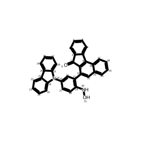 O=C1c2ccccc2-c2c1c(-c1cc(-n3c4ccccc4c4ccccc43)ccc1NO)cc1ccccc21